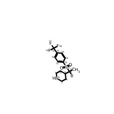 CC(F)(C1CCNCC1)S(=O)(=O)c1ccc(C(F)(F)F)cc1